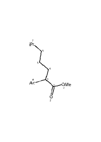 COC(=O)C(CCCC(C)C)C(C)=O